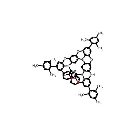 Cc1cc(C)c(-c2cc3c4c(c2)Oc2c(oc5ccccc25)B4c2cc4c(cc2N3)Oc2cc(-c3c(C)cc(C)cc3C)cc3c2B4c2cc4c(cc2O3)Oc2cc(-c3c(C)cc(C)cc3C)cc3c2B4c2oc4ccccc4c2O3)c(C)c1